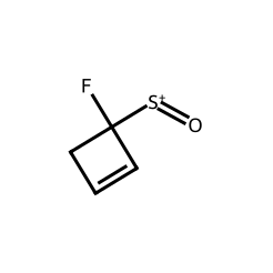 O=[S+]C1(F)C=CC1